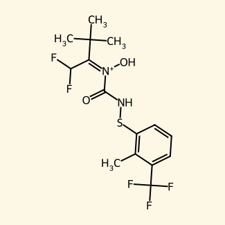 Cc1c(SNC(=O)[N+](O)=C(C(F)F)C(C)(C)C)cccc1C(F)(F)F